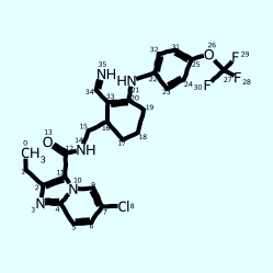 CCc1nc2ccc(Cl)cn2c1C(=O)NCC1CCCC(Nc2ccc(OC(F)(F)F)cc2)=C1C=N